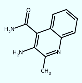 Cc1nc2ccccc2c(C(N)=O)c1N